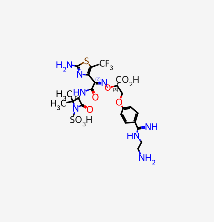 CC1(C)[C@H](NC(=O)/C(=N\O[C@@H](COc2ccc(C(=N)NCCN)cc2)C(=O)O)c2nc(N)sc2C(F)(F)F)C(=O)N1S(=O)(=O)O